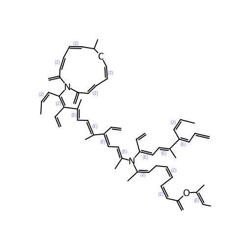 C=C/C=C(\C=C/C)C(/C)=C/C=C(\C=C)N(/C(C)=C\C/C=C\C=C/C(=C)O/C(C)=C/C)/C(C)=C/C=C(C=C)/C(C)=C/C=C(C)/C(C=C)=C(/C=C\C)N1C(=C)/C=C\C=C/CC(C)/C=C\C=C/C1=C